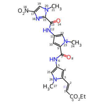 CCOC(=O)/C=C/c1cc(NC(=O)c2cc(NC(=O)c3nc([N+](=O)[O-])cn3C)cn2C)cn1C